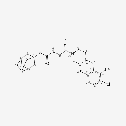 O=C(CC12CC3CC(C1)C(C3)C2)NCC(=O)N1CCN(Cc2c(F)ccc(Cl)c2F)CC1